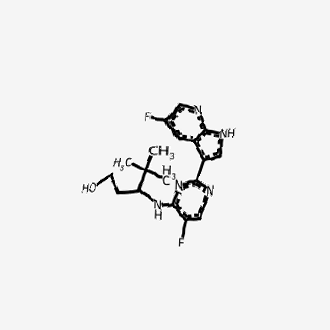 CC(C)(C)C(CCO)Nc1nc(-c2c[nH]c3ncc(F)cc23)ncc1F